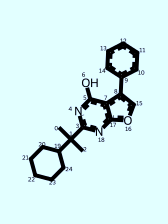 CC(C)(c1nc(O)c2c(-c3ccccc3)coc2n1)C1CCCCC1